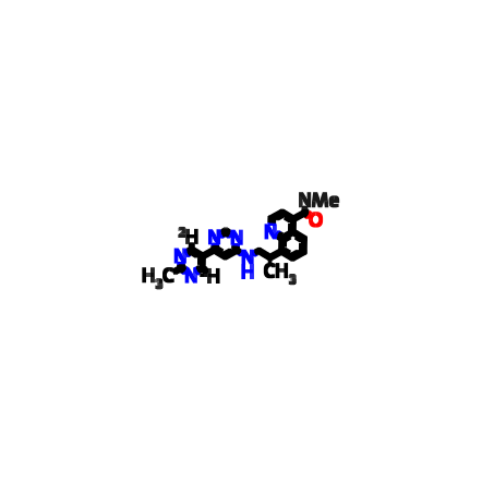 [2H]c1nc(C)nc([2H])c1-c1cc(NC[C@@H](C)c2cccc3c(C(=O)NC)ccnc23)ncn1